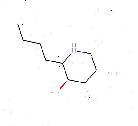 CCCCC1N[C@H](C)[C@H](O)[C@H](O)[C@H]1O